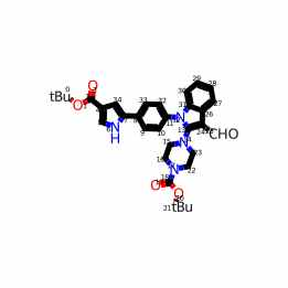 CC(C)(C)OC(=O)c1c[nH]c(-c2ccc(-n3c(N4CCN(C(=O)OC(C)(C)C)CC4)c(C=O)c4ccccc43)cc2)c1